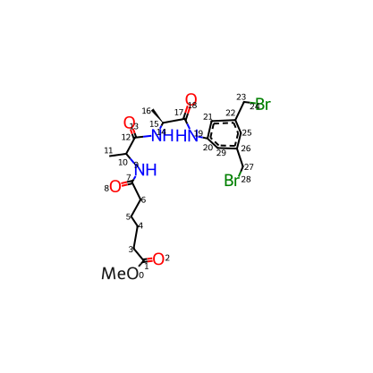 COC(=O)CCCCC(=O)NC(C)C(=O)N[C@@H](C)C(=O)Nc1cc(CBr)cc(CBr)c1